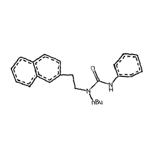 CCCCN(CCc1ccc2ccccc2c1)C(=O)Nc1ccccc1